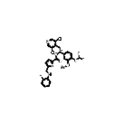 CC(C)Oc1cc([C@H](Cc2c(Cl)cncc2Cl)OC(=O)c2ccc(CNc3ccccc3F)s2)ccc1OC(F)F